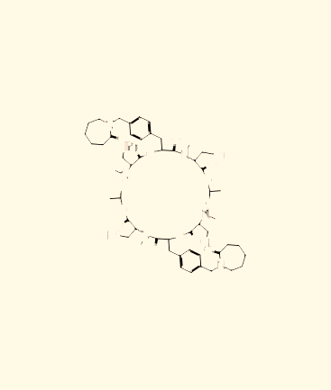 CC(C)CC1C(=O)OC(Cc2ccc(CN3CCCCCC3=O)cc2)C(=O)N(C)C(CC(C)C)C(=O)OC(C)CN(C)C(CC(C)C)C(=O)OC(Cc2ccc(CN3CCCCCC3=O)cc2)C(=O)N(C)C(CC(C)C)C(=O)OC(C)CN1C